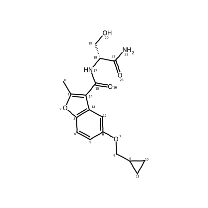 Cc1oc2ccc(OCC3CC3)cc2c1C(=O)N[C@H](CO)C(N)=O